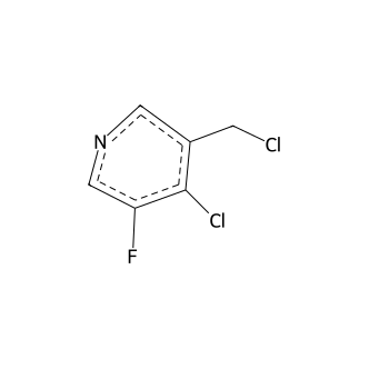 Fc1cncc(CCl)c1Cl